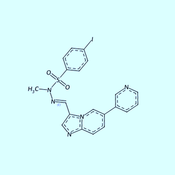 CN(/N=C/c1cnc2ccc(-c3cccnc3)cn12)S(=O)(=O)c1ccc(I)cc1